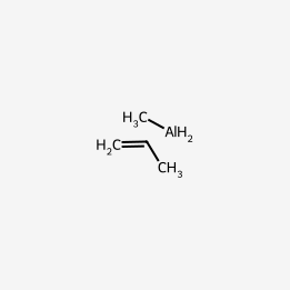 C=CC.[CH3][AlH2]